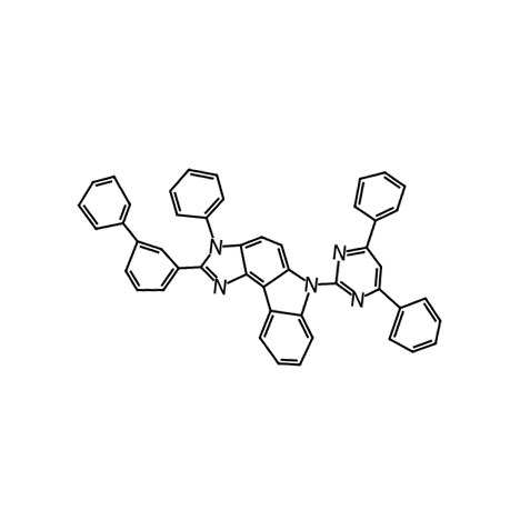 c1ccc(-c2cccc(-c3nc4c5c6ccccc6n(-c6nc(-c7ccccc7)cc(-c7ccccc7)n6)c5ccc4n3-c3ccccc3)c2)cc1